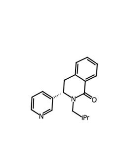 CC(C)CN1C(=O)c2ccccc2C[C@H]1c1cccnc1